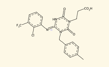 Cc1ccc(Cn2c(=O)n(CCC(=O)O)c(=O)[nH]/c2=N\c2cccc(C(F)(F)F)c2Cl)cc1